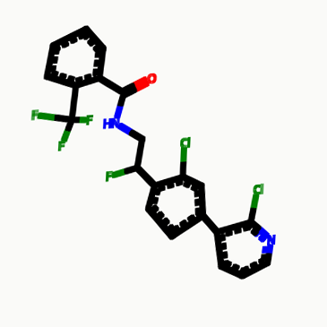 O=C(NCC(F)c1ccc(-c2cccnc2Cl)cc1Cl)c1ccccc1C(F)(F)F